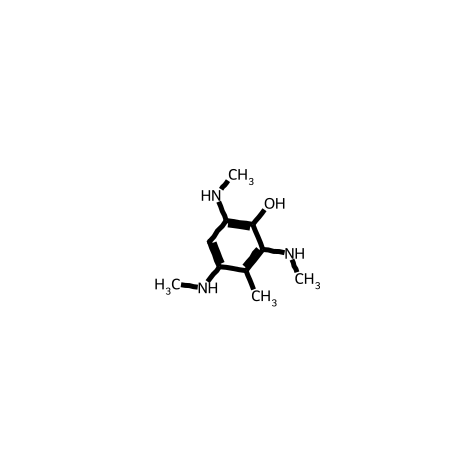 CNc1cc(NC)c(O)c(NC)c1C